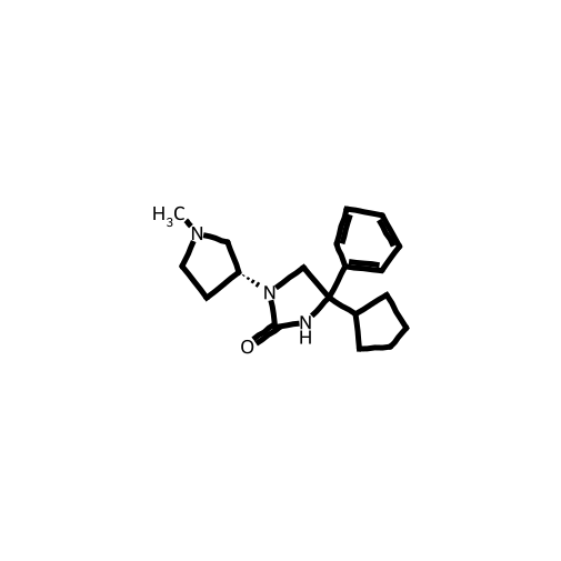 CN1CC[C@@H](N2CC(c3ccccc3)(C3CCCC3)NC2=O)C1